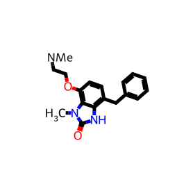 CNCCOc1ccc(Cc2ccccc2)c2[nH]c(=O)n(C)c12